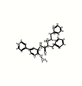 COc1ncc(-c2ccncc2)cc1NC(=O)[C@H](Cc1ccccc1)NCCc1ccccn1